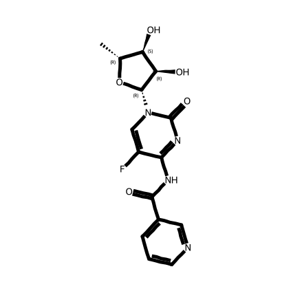 C[C@H]1O[C@@H](n2cc(F)c(NC(=O)c3cccnc3)nc2=O)[C@H](O)[C@@H]1O